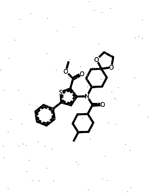 COC(=O)c1sc(-c2ccccc2)cc1N(C(=O)C1CCC(C)CC1)C1CCC2(CC1)OCCO2